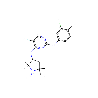 COc1ccc(Nc2ncc(F)c(NC3CC(C)(C)N(C)C3(C)C)n2)cc1Cl